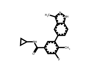 Cc1c(F)cc(C(=O)NC2CC2)cc1-c1ccc2[nH]nc(C)c2c1